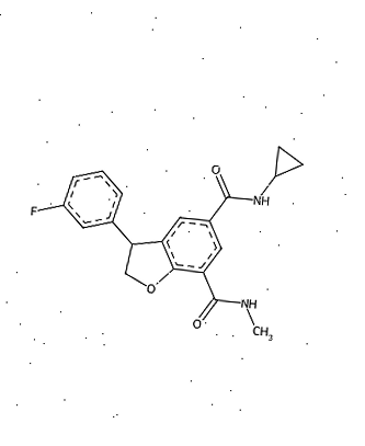 CNC(=O)c1cc(C(=O)NC2CC2)cc2c1OCC2c1cccc(F)c1